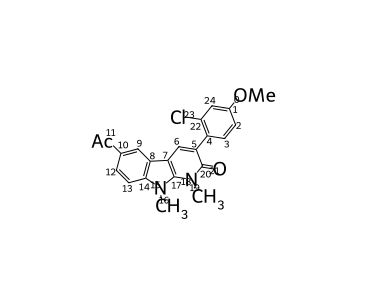 COc1ccc(-c2cc3c4cc(C(C)=O)ccc4n(C)c3n(C)c2=O)c(Cl)c1